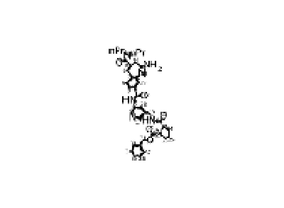 CCCN(CCC)C(=O)C1=Cc2ccc(C(=O)Nc3cncc(CNC(=O)[C@@H]4CCCN4C(=O)OCc4ccccc4)c3)cc2N=C(N)C1